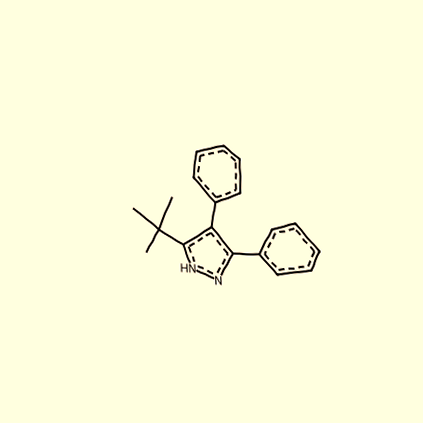 CC(C)(C)c1[nH]nc(-c2ccccc2)c1-c1ccccc1